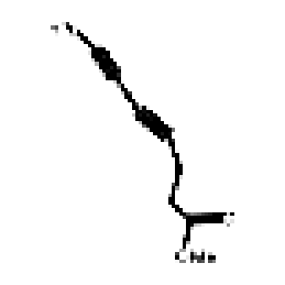 CCCC#CC#CCCC(=O)OC